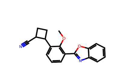 COc1c(-c2nc3ccccc3o2)cccc1C1CCC1C#N